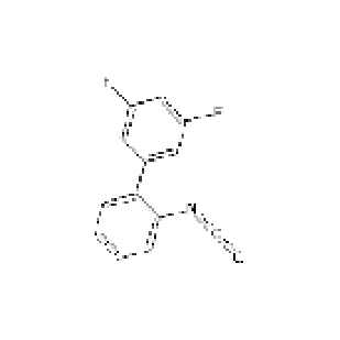 O=C=Nc1ccccc1-c1cc(F)cc(F)c1